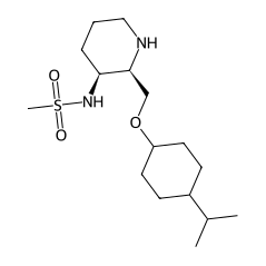 CC(C)C1CCC(OC[C@@H]2NCCC[C@@H]2NS(C)(=O)=O)CC1